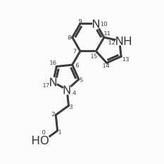 OCCCn1cc(C2C=CN=C3NC=CC32)cn1